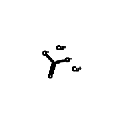 O=C([O-])[O-].[Cu+].[Cu+]